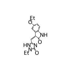 CCOc1ccc2c(c1)/C(=C/c1nc(=O)n(CC)[nH]1)C(=O)N2